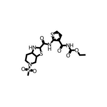 CCOC(=O)NC(=O)c1ccsc1NC(=O)C1NC2CCN(S(C)(=O)=O)CC2S1